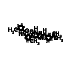 Cc1cccc(C(=O)Nc2ccc(C)c(N3Cc4cnc(Nc5cccc(N(C)C)c5)nc4NC3=O)c2)c1